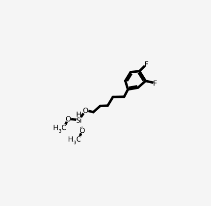 CO[SiH](OC)OCCCCCc1ccc(F)c(F)c1